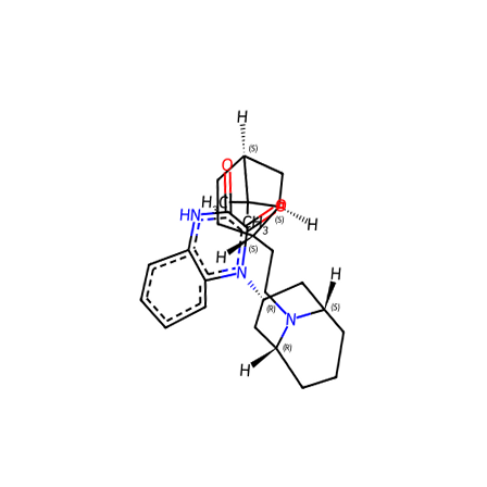 CC1(C)[C@H]2CC[C@@H](CCN3[C@@H]4CCC[C@H]3C[C@@H](n3c(=O)c(=O)[nH]c5ccccc53)C4)[C@@H]1C2